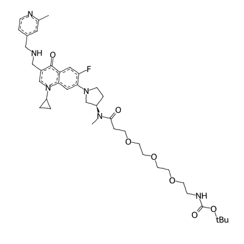 Cc1cc(CNCc2cn(C3CC3)c3cc(N4CC[C@@H](N(C)C(=O)CCOCCOCCOCCNC(=O)OC(C)(C)C)C4)c(F)cc3c2=O)ccn1